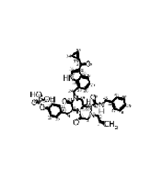 C=CCN1CC(=O)N2[C@@H](Cc3ccc(OP(=O)(O)O)cc3)C(=O)N(Cc3cccc4c(C(=O)C5CC5)c[nH]c34)C[C@@H]2N1C(=O)NCc1ccccc1